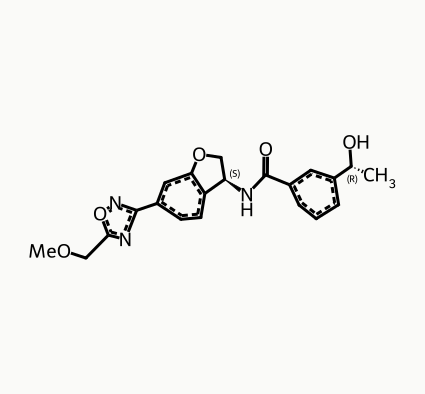 COCc1nc(-c2ccc3c(c2)OC[C@H]3NC(=O)c2cccc([C@@H](C)O)c2)no1